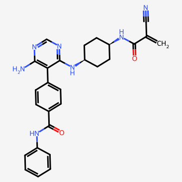 C=C(C#N)C(=O)N[C@H]1CC[C@@H](Nc2ncnc(N)c2-c2ccc(C(=O)Nc3ccccc3)cc2)CC1